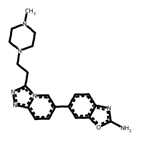 CN1CCN(CCc2nnc3ccc(-c4ccc5nc(N)oc5c4)cn23)CC1